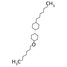 CCCCCCCO[C@H]1CC[C@H](C2CCC(CCCCCCC)CC2)CC1